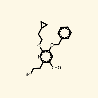 CC(C)[CH]Cc1nc(OCCC2CC2)c(OCc2ccccc2)cc1C=O